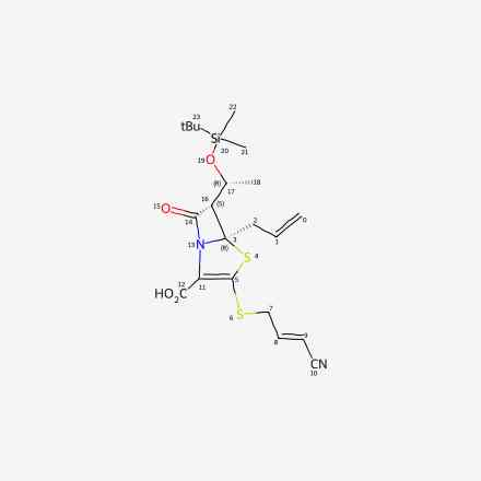 C=CC[C@]12SC(SCC=CC#N)=C(C(=O)O)N1C(=O)[C@@H]2[C@@H](C)O[Si](C)(C)C(C)(C)C